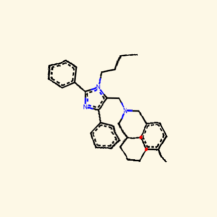 CCCCn1c(-c2ccccc2)nc(-c2ccccc2)c1CN(Cc1ccc(C)cc1)CC1CCCCC1